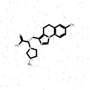 Cc1ccc2c(c1)CCc1c(C[C@@H](C(=O)O)N3CC[C@H](N)C3)ncn1-2